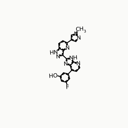 Cn1cc(-c2ccc3[nH]nc(-c4nc5c(-c6cc(O)cc(F)c6)ccnc5[nH]4)c3n2)cn1